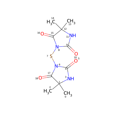 CC1(C)NC(=O)N(SN2C(=O)NC(C)(C)C2=O)C1=O